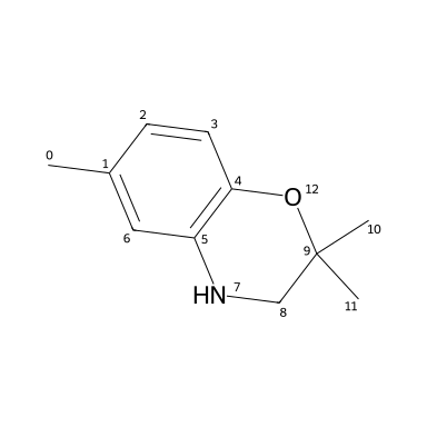 Cc1ccc2c(c1)NCC(C)(C)O2